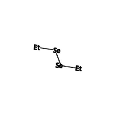 CC[Se][Se]CC